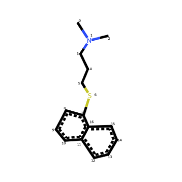 CN(C)CCCSc1cccc2ccccc12